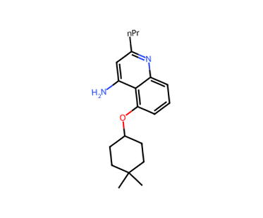 CCCc1cc(N)c2c(OC3CCC(C)(C)CC3)cccc2n1